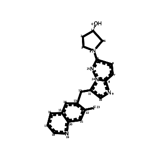 O[C@H]1CCN(c2ccc3ncc(Cc4cc5cccnc5cc4F)n3n2)C1